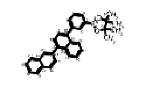 CC1(C)OB(c2cccc(-c3ccc(-c4ccc5ccccc5c4)c4ccccc34)c2)OC1(C)C